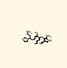 C/C=C/C=C(Cc1c(C#N)c[nH]c1N)\C(=C/CCC(CCN)N1CCOC1)OC